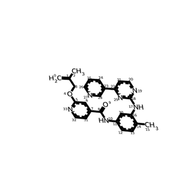 C=C(C)COc1cc(C(=O)Nc2ccc(C)c(Nc3nccc(-c4cccnc4)n3)c2)ccn1